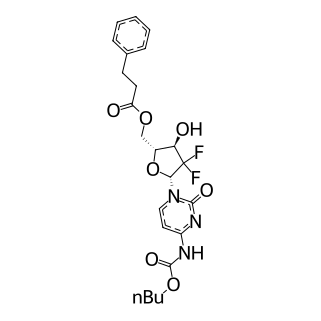 CCCCOC(=O)Nc1ccn([C@@H]2O[C@H](COC(=O)CCc3ccccc3)[C@@H](O)C2(F)F)c(=O)n1